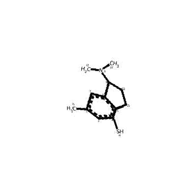 Cc1cc(S)c2c(c1)C(N(C)C)CC2